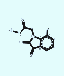 CC(C)(C)OC(=O)CN1C(=O)C(=O)c2cccc(Br)c21